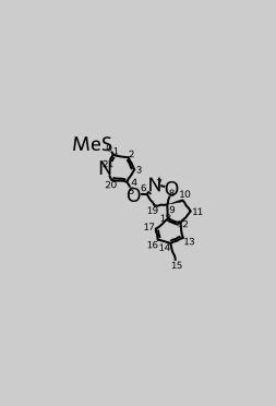 CSc1ccc(OC2=NO[C@@]3(CCc4cc(C)ccc43)C2)cn1